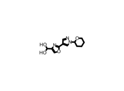 OC(O)c1coc(-c2cnn(C3CCCCO3)c2)n1